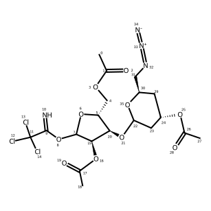 CC(=O)OC[C@H]1OC(OC(=N)C(Cl)(Cl)Cl)[C@H](OC(C)=O)[C@@H]1OC1C[C@@H](OC(C)=O)C[C@H](CN=[N+]=[N-])O1